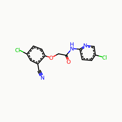 N#Cc1cc(Cl)ccc1OCC(=O)Nc1ccc(Cl)cn1